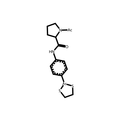 CC(=O)N1CCCC1C(=O)Nc1ccc([As]2SCCS2)cc1